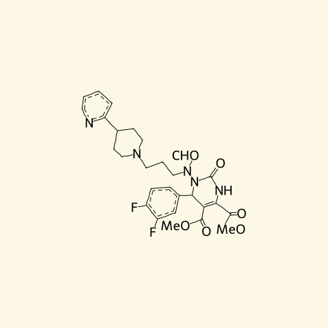 COC(=O)C1=C(C(=O)OC)C(c2ccc(F)c(F)c2)N(N(C=O)CCCN2CCC(c3ccccn3)CC2)C(=O)N1